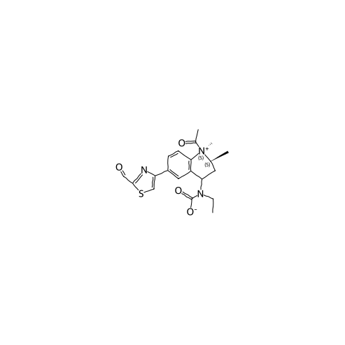 CCN(C(=O)[O-])C1C[C@H](C)[N@+](C)(C(C)=O)c2ccc(-c3csc(C=O)n3)cc21